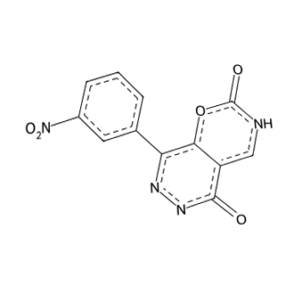 O=c1[nH]cc2c(=O)nnc(-c3cccc([N+](=O)[O-])c3)c-2o1